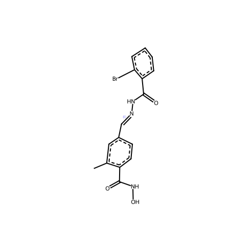 Cc1cc(/C=N/NC(=O)c2ccccc2Br)ccc1C(=O)NO